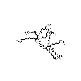 CCCCCCCCC(OCOCOC(CCCCCCCC)C(OCCCCCC)=C(CCCCC)OCCCCCC)C(OCCCCCC)=C(CCCCC)OCCCCCC